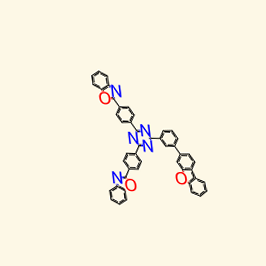 c1cc(-c2ccc3c(c2)oc2ccccc23)cc(-c2nc(-c3ccc(-c4nc5ccccc5o4)cc3)nc(-c3ccc(-c4nc5ccccc5o4)cc3)n2)c1